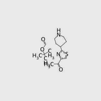 CC(=O)c1csc(C2CCNCC2)n1.CC(C)(C)OC=O